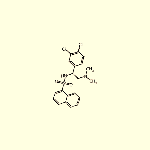 CN(C)C[C@@H](NS(=O)(=O)c1cccc2ccccc12)c1ccc(Cl)c(Cl)c1